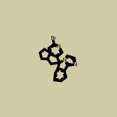 Brc1ccc(C2(CC3CCCC3)c3ccccc3-c3nccn32)cn1